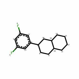 Fc1[c]c(F)cc(C2CCC3C[CH]CCC3C2)c1